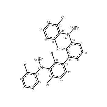 Cc1ccccc1N(c1c(C)ccc(-c2cccc(N(c3c(C)cccc3C)C(C)C)c2)c1C)C(C)C